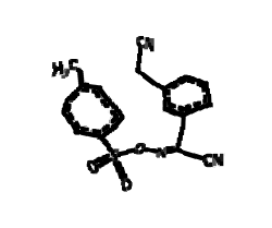 Cc1ccc(S(=O)(=O)ON=C(C#N)c2cccc(CC#N)c2)cc1